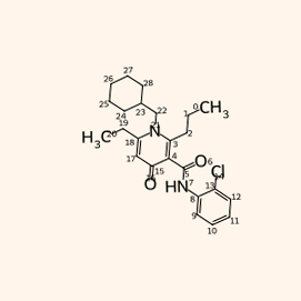 CCCc1c(C(=O)Nc2ccccc2Cl)c(=O)cc(CC)n1CC1CCCCC1